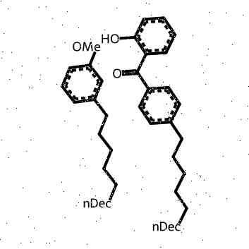 CCCCCCCCCCCCCCCc1ccc(C(=O)c2ccccc2O)cc1.CCCCCCCCCCCCCCCc1cccc(OC)c1